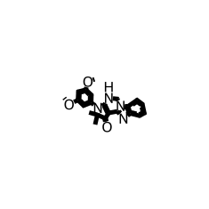 COc1cc(OC)cc(N2C3=C(C(=O)C2(C)C)c2nc4ccccc4n2CN3)c1